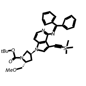 COC[C@H]1C[C@H](n2cc(C#C[Si](C)(C)C)c3c(N=C(c4ccccc4)c4ccccc4)nccc32)CN1C(=O)OC(C)(C)C